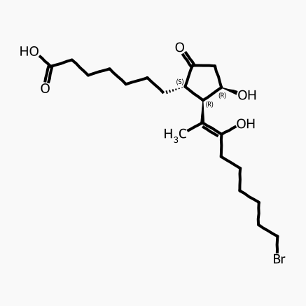 CC(=C(O)CCCCCCBr)[C@@H]1[C@H](O)CC(=O)[C@H]1CCCCCCC(=O)O